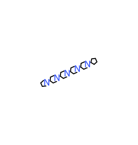 C1CCC(N2CCC(N3CCC(N4CCC(N5CCC(N6CCCC6)CC5)CC4)CC3)CC2)C1